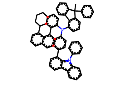 CC1(c2ccccc2)c2ccccc2-c2c(N(c3ccc(-c4cccc5c6ccccc6n(-c6ccccc6)c45)cc3)c3ccccc3-c3cccc4cccc(C5CCCCC5)c34)cccc21